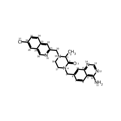 CC1C(=O)N(Cc2ccc3c(N)ncnc3c2)CCN1Cc1cc2ccc(Cl)cc2cn1